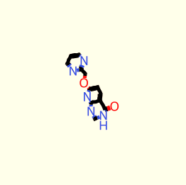 O=c1[nH]cnc2nc(OCc3ncccn3)ccc12